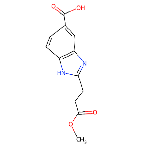 COC(=O)CCc1nc2cc(C(=O)O)ccc2[nH]1